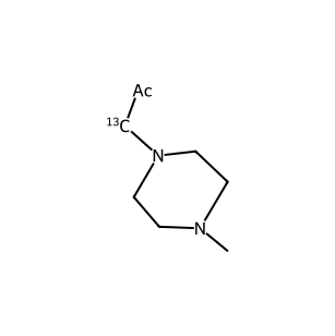 CC(=[18O])[13CH2]N1CCN(C)CC1